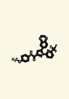 COc1ccc(NC(=O)c2cc(-c3ccc4nccnc4c3)n(-c3cccc(C(F)(F)F)n3)n2)cc1